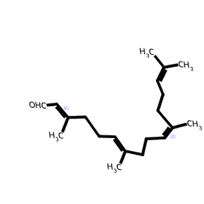 CC(C)=CCC/C(C)=C\CCC(C)=CCC/C(C)=C/C=O